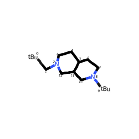 CC(C)(C)CN1CCC2CCN(C(C)(C)C)CC2C1